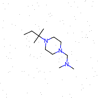 CCC(C)(C)N1CCN(CN(C)C)CC1